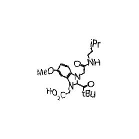 COc1ccc2c(c1)N(CC(=O)O)C(C(=O)C(C)(C)C)N2CC(=O)NCCC(C)C